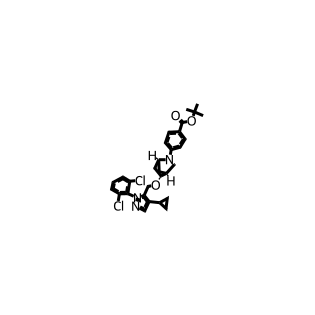 CC(C)(C)OC(=O)c1ccc(N2C[C@@H]3C[C@H]2C[C@H]3OCc2c(C3CC3)cnn2-c2c(Cl)cccc2Cl)cc1